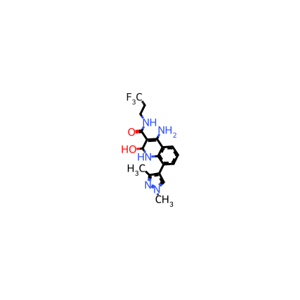 Cc1nn(C)cc1-c1cccc2c1NC(O)C(C(=O)NCCC(F)(F)F)=C2N